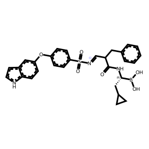 O=C(N[C@@H](CC1CC1)B(O)O)C(/C=N/S(=O)(=O)c1ccc(Oc2ccc3[nH]ccc3c2)cc1)Cc1ccccc1